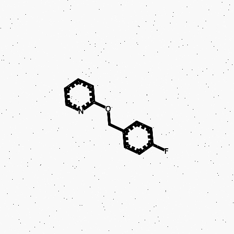 Fc1ccc(COc2ccccn2)cc1